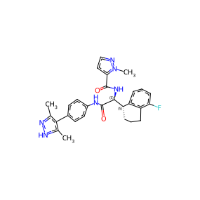 Cc1n[nH]c(C)c1-c1ccc(NC(=O)[C@@H](NC(=O)c2ccnn2C)[C@H]2CCCc3c(F)cccc32)cc1